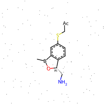 CB1O[C@@H](CN)c2ccc(SCC(C)=O)cc21